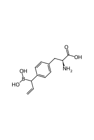 C=CC(B(O)O)c1ccc(C[C@H](N)C(=O)O)cc1